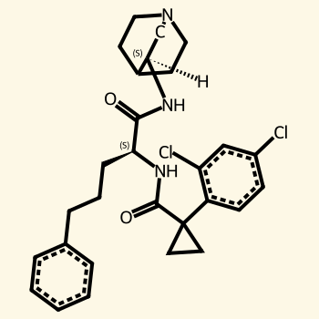 O=C(N[C@@H]1CN2CCC1CC2)[C@H](CCCc1ccccc1)NC(=O)C1(c2ccc(Cl)cc2Cl)CC1